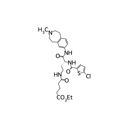 CCOC(=O)CCCC(=O)NCC[C@@H](NC(=O)c1ccc(Cl)s1)C(=O)Nc1ccc2c(c1)CCN(C)CC2